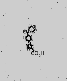 O=C(O)Cc1cn(-c2ccc(C(=O)N3CCOCC3)cc2)nn1